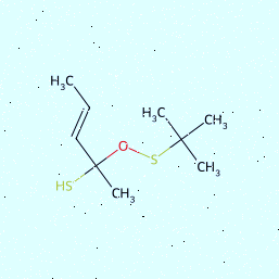 CC=CC(C)(S)OSC(C)(C)C